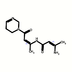 C/C(N)=C/C(=O)N/C(C)=C\C(=O)N1CCC=NC1